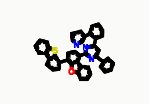 c1ccc(-c2cc(-c3ccccc3-c3cccnc3)nc(-c3ccc(-c4cccc5c4sc4ccccc45)c4oc5ccccc5c34)n2)cc1